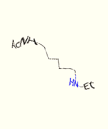 CCNCCCCCNC(C)=O